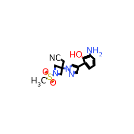 CS(=O)(=O)N1CC(CC#N)(n2cc(-c3cccc(N)c3O)cn2)C1